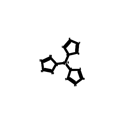 C1=C[CH]([In]([CH]2C=CC=C2)[CH]2C=CC=C2)C=C1